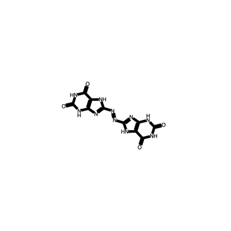 O=c1[nH]c(=O)c2[nH]c(N=Nc3nc4[nH]c(=O)[nH]c(=O)c4[nH]3)nc2[nH]1